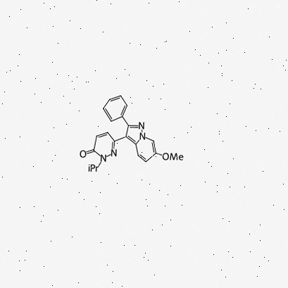 COc1ccc2c(-c3ccc(=O)n(C(C)C)n3)c(-c3ccccc3)nn2c1